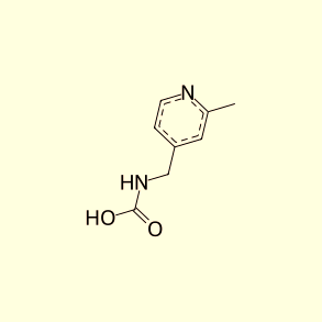 Cc1cc(CNC(=O)O)ccn1